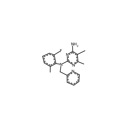 Cc1cccc(F)c1N(Cc1ccccn1)c1nc(C)c(C)c(N)n1